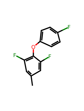 Cc1cc(F)c(Oc2ccc(F)cc2)c(F)c1